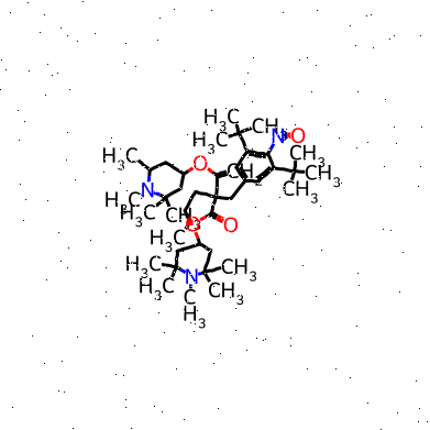 C=C(OC1CC(C)N(C)C(C)(C)C1)C(CCCC)(Cc1cc(C(C)(C)C)c(N=O)c(C(C)(C)C)c1)C(=O)OC1CC(C)(C)N(C)C(C)(C)C1